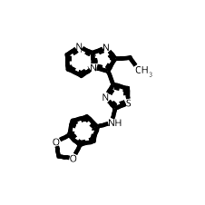 CCc1nc2ncccn2c1-c1csc(Nc2ccc3c(c2)OCO3)n1